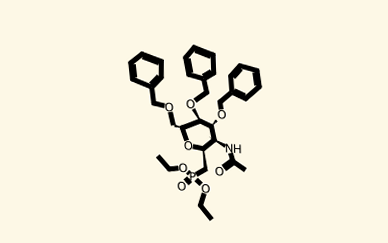 CCOP(=O)(C[C@H]1O[C@H](COCc2ccccc2)[C@@H](OCc2ccccc2)[C@H](OCc2ccccc2)[C@H]1NC(C)=O)OCC